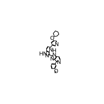 COc1cccc(-c2nccc3[nH]c(-c4n[nH]c5ccc(-c6cncc(OC7CCCCC7)c6)nc45)nc23)c1